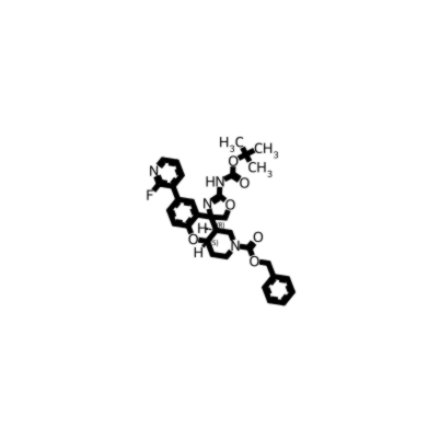 CC(C)(C)OC(=O)NC1=NC2(CO1)c1cc(-c3cccnc3F)ccc1O[C@H]1CCN(C(=O)OCc3ccccc3)C[C@@H]12